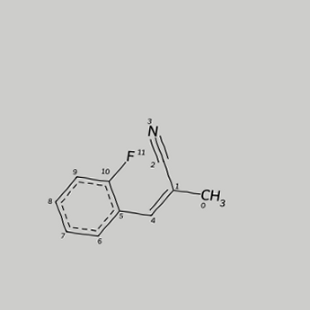 C/C(C#N)=C/c1ccccc1F